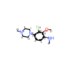 CNc1ccc(N2CCN(C)CC2)c(F)c1OC